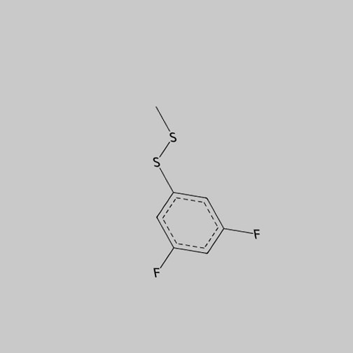 CSSc1cc(F)cc(F)c1